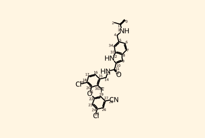 C=C(C)NCc1ccc2cc(C(=O)NCc3ccc(Cl)c(Oc4cc(Cl)cc(C#N)c4)c3F)[nH]c2c1